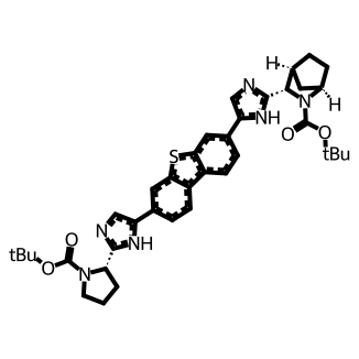 CC(C)(C)OC(=O)N1CCC[C@H]1c1ncc(-c2ccc3c(c2)sc2cc(-c4cnc([C@@H]5[C@H]6CC[C@H](C6)N5C(=O)OC(C)(C)C)[nH]4)ccc23)[nH]1